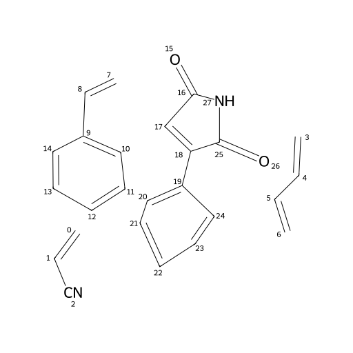 C=CC#N.C=CC=C.C=Cc1ccccc1.O=C1C=C(c2ccccc2)C(=O)N1